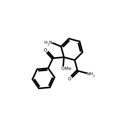 COC1(C(=O)c2ccccc2)C(N)=CC=CC1C(N)=O